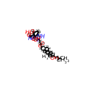 CC(C)CCC[C@](C)(O)C1CCC2C3CC=C4C[C@@H](OC(=O)CCC(=O)Nc5ccc(O)c(C(N)=O)c5O)CC[C@]4(C)C3CC[C@@]21C